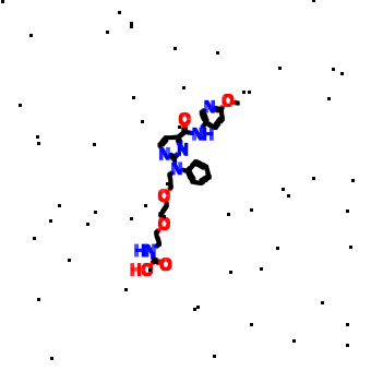 COc1ccc(NC(=O)c2ccnc(N(CCOCCOCCNC(=O)O)c3ccccc3)n2)cn1